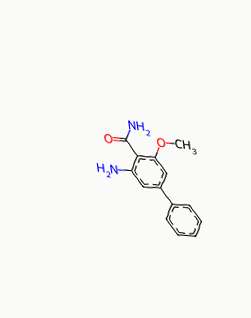 COc1cc(-c2ccccc2)cc(N)c1C(N)=O